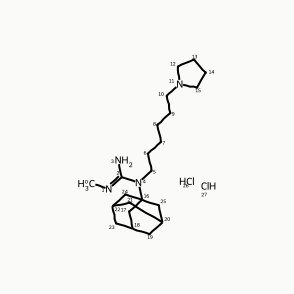 CN=C(N)N(CCCCCCN1CCCC1)C12CC3CC(CC(C3)C1)C2.Cl.Cl